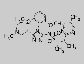 COc1cccc(OC)c1-n1c(NS(=O)(=O)[C@@H](C)[C@H](C)c2ncc(C)cn2)nnc1[C@H]1CCCN(C)C1